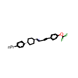 CCCc1ccc([C@H]2CC[C@H](/C=C/C#Cc3ccc(OC(F)F)cc3)CC2)cc1